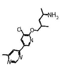 Cc1cc(-c2cnc(OCC(C)CC(C)N)c(Cl)c2)ncn1